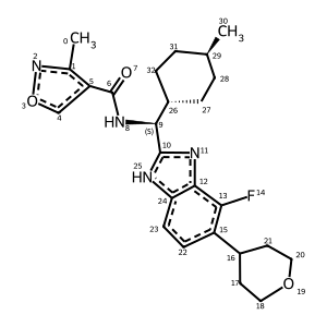 Cc1nocc1C(=O)N[C@H](c1nc2c(F)c(C3CCOCC3)ccc2[nH]1)[C@H]1CC[C@H](C)CC1